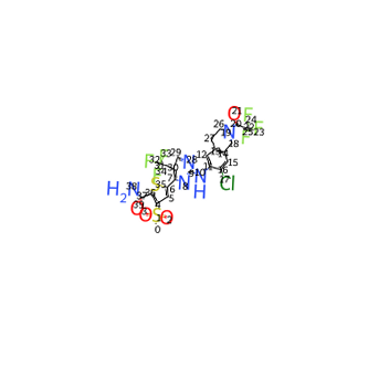 CS(=O)(=O)c1cc(-c2nc(Nc3cc4c(cc3Cl)CN(C(=O)C(F)(F)F)CC4)ncc2C(F)(F)F)sc1C(N)=O